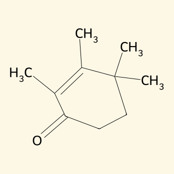 CC1=C(C)C(C)(C)CCC1=O